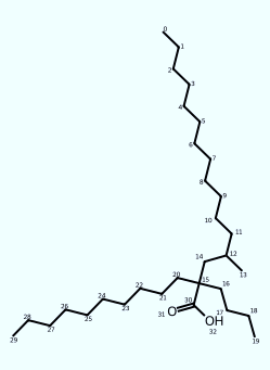 CCCCCCCCCCCCC(C)CC(CCCC)(CCCCCCCCCC)C(=O)O